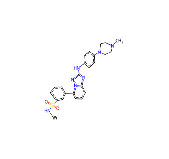 CC(C)NS(=O)(=O)c1cccc(-c2cccc3nc(Nc4ccc(N5CCN(C)CC5)cc4)nn23)c1